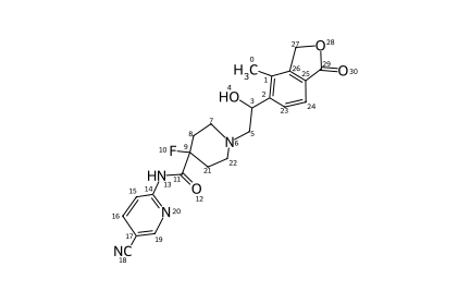 Cc1c(C(O)CN2CCC(F)(C(=O)Nc3ccc(C#N)cn3)CC2)ccc2c1COC2=O